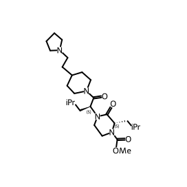 COC(=O)N1CCN([C@@H](CC(C)C)C(=O)N2CCC(CCN3CCCC3)CC2)C(=O)[C@@H]1CC(C)C